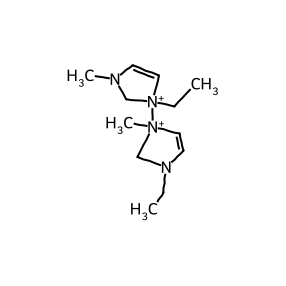 CCN1C=C[N+](C)([N+]2(CC)C=CN(C)C2)C1